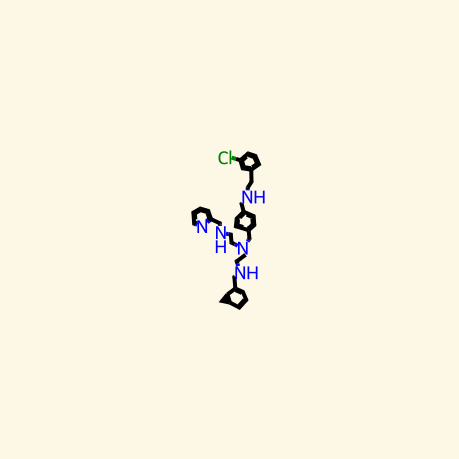 Clc1cccc(CCNCc2ccc(CN(CCNCC3=CC=CC4C=C34)CCNCc3ccccn3)cc2)c1